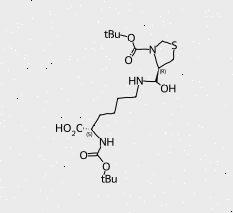 CC(C)(C)OC(=O)N[C@@H](CCCCNC(O)[C@@H]1CSCN1C(=O)OC(C)(C)C)C(=O)O